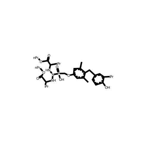 CCCOC(=O)C(NN(NC(C(=O)OCCC)C(C)C)P(=O)(O)COc1cc(C)c(Cc2ccc(O)c(C(C)C)c2)c(C)c1)C(C)C